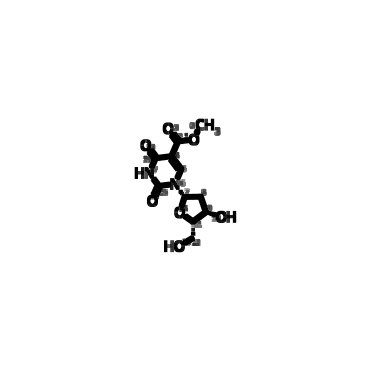 COC(=O)c1cn([C@@H]2C[C@@H](O)[C@H](CO)O2)c(=O)[nH]c1=O